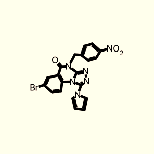 O=c1c2cc(Br)ccc2n2c(-n3cccc3)nnc2n1Cc1ccc([N+](=O)[O-])cc1